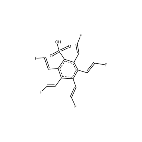 O=S(=O)(O)c1c(C=CF)c(C=CF)c(C=CF)c(C=CF)c1C=CF